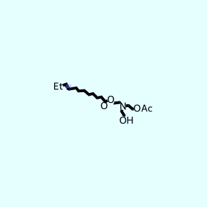 CC/C=C/CCCCCCCC(=O)OCCN(CCO)CCOC(C)=O